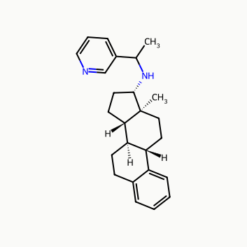 CC(N[C@H]1CC[C@H]2[C@@H]3CCc4ccccc4[C@H]3CC[C@]12C)c1cccnc1